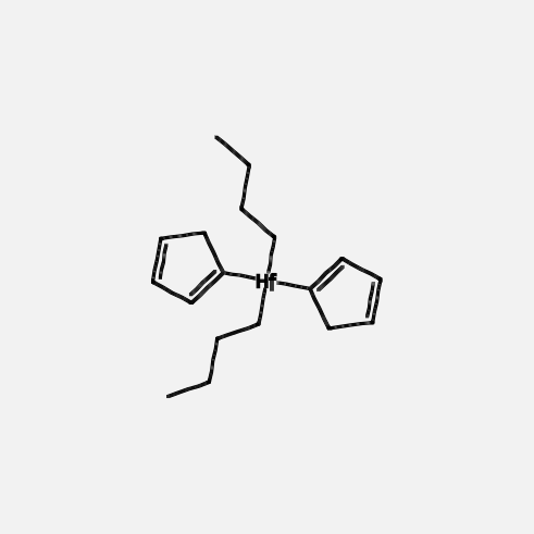 CCC[CH2][Hf]([CH2]CCC)([C]1=CC=CC1)[C]1=CC=CC1